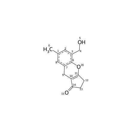 Cc1cc(CO)c2c(c1)CC1=C(CCC1=O)O2